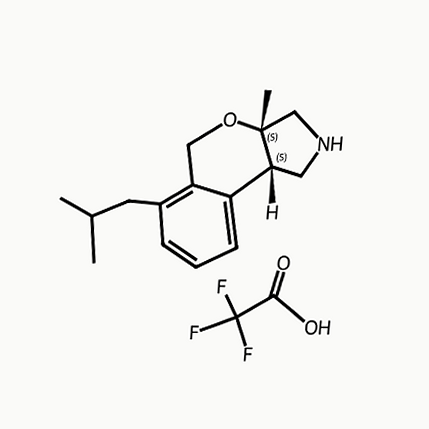 CC(C)Cc1cccc2c1CO[C@]1(C)CNC[C@H]21.O=C(O)C(F)(F)F